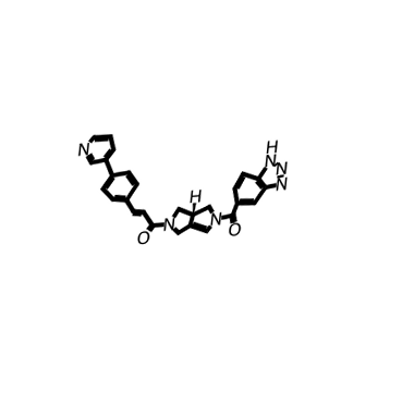 O=C(c1ccc2[nH]nnc2c1)N1C=C2CN(C(=O)C=Cc3ccc(-c4cccnc4)cc3)C[C@@H]2C1